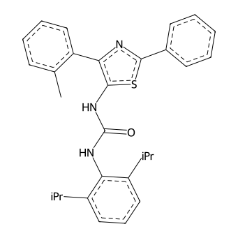 Cc1ccccc1-c1nc(-c2ccccc2)sc1NC(=O)Nc1c(C(C)C)cccc1C(C)C